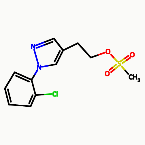 CS(=O)(=O)OCCc1cnn(-c2ccccc2Cl)c1